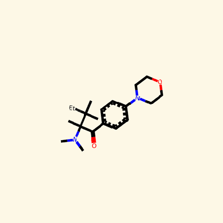 CCC(C)(C)C(C)(C(=O)c1ccc(N2CCOCC2)cc1)N(C)C